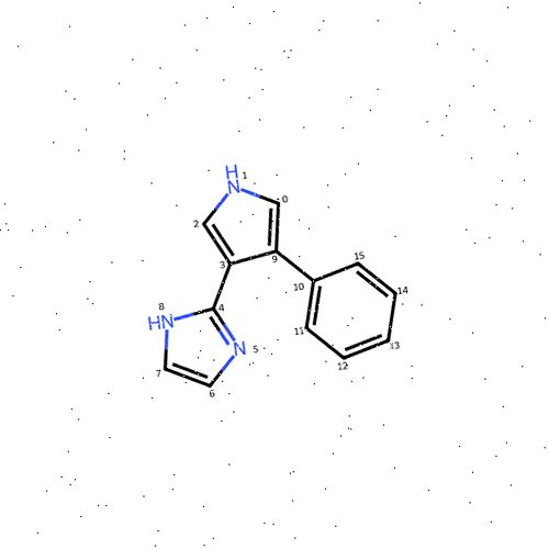 [c]1[nH]cc(-c2ncc[nH]2)c1-c1ccccc1